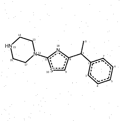 CC(c1ccccc1)c1csc(N2CCNCC2)n1